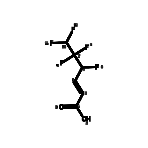 O=C(O)C=CC(F)C(F)(F)C(F)F